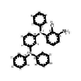 Nc1cccc(N(c2ccccc2)c2cccc(N(c3ccccc3)c3ccccc3)c2)c1Cl